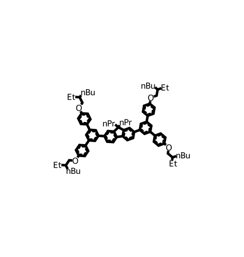 CCCCC(CC)COc1ccc(-c2cc(-c3ccc(OCC(CC)CCCC)cc3)cc(-c3ccc4c(c3)C(CCC)(CCC)c3cc(-c5cc(-c6ccc(OCC(CC)CCCC)cc6)cc(-c6ccc(OCC(CC)CCCC)cc6)c5)ccc3-4)c2)cc1